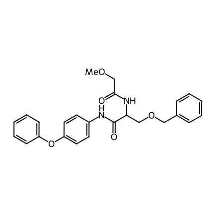 COCC(=O)NC(COCc1ccccc1)C(=O)Nc1ccc(Oc2ccccc2)cc1